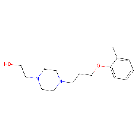 Cc1ccccc1OCCCN1CCN(CCO)CC1